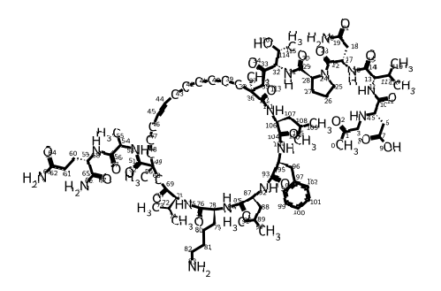 CC(=O)CN[C@@H](CC(=O)O)C(=O)N[C@H](C(=O)N[C@@H](CC(N)=O)C(=O)N1CCC[C@H]1C(=O)N[C@H](C(=O)C[C@]1(C)CCCCCC/C=C\CCC[C@@](C)(C(=O)NC(C)C(=O)N[C@@H](CCC(N)=O)C(N)=O)CC(=O)[C@H](C(C)C)NC(=O)[C@H](CCCCN)NC(=O)[C@H](CC(C)C)NC(=O)[C@H](Cc2ccccc2)NC(=O)[C@H](CC(C)C)NC1=O)[C@@H](C)O)C(C)C